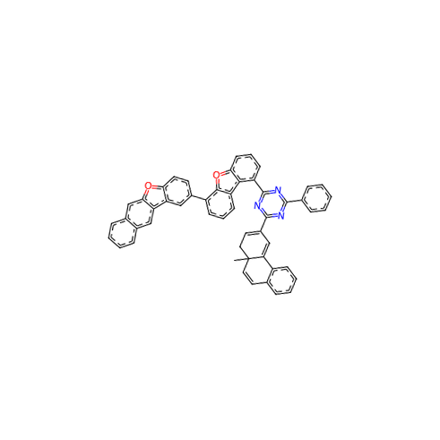 CC12C=Cc3ccccc3C1=CC(c1nc(-c3ccccc3)nc(-c3cccc4oc5c(-c6ccc7oc8cc9ccccc9cc8c7c6)cccc5c34)n1)=CC2